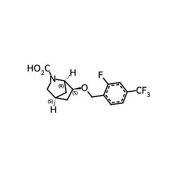 O=C(O)N1C[C@@H]2C[C@H](OCc3ccc(C(F)(F)F)cc3F)[C@H]1C2